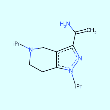 C=C(N)c1nn(C(C)C)c2c1CN(C(C)C)CC2